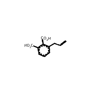 C=CCc1cccc(C(=O)O)c1C(=O)O